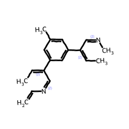 C=C/N=C\C(=C/C)c1cc(C)cc(C(/C=N\C)=C/C)c1